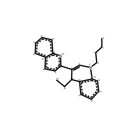 CCCCN1C=C(c2ccc3ccccc3n2)C(CC)c2ccccc21